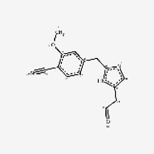 COc1cc(Cc2ncc(C[C]=O)[nH]2)ccc1C#N